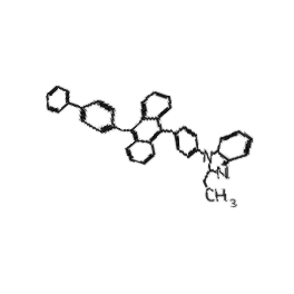 CCC1N=C2C=CC=CC2N1c1ccc(-c2c3ccccc3c(-c3ccc(-c4ccccc4)cc3)c3ccccc23)cc1